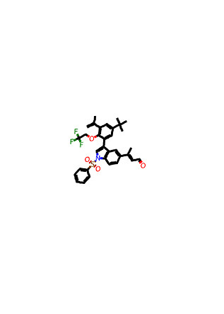 C=C(C)c1cc(C(C)(C)C)cc(-c2cn(S(=O)(=O)c3ccccc3)c3ccc(/C(C)=C/C=O)cc23)c1OCC(F)(F)F